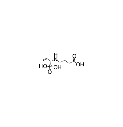 C=CC(NCCCC(=O)O)P(=O)(O)O